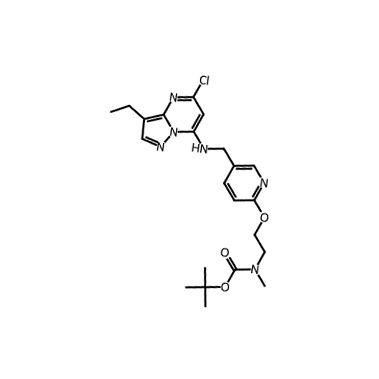 CCc1cnn2c(NCc3ccc(OCCN(C)C(=O)OC(C)(C)C)nc3)cc(Cl)nc12